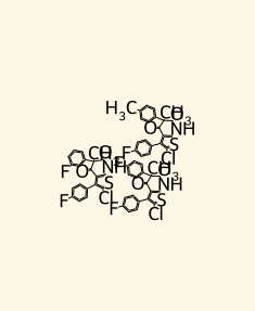 CC1(c2ccc(F)cc2)C(=O)Nc2sc(Cl)c(-c3ccc(F)cc3)c2C1=O.CC1(c2cccc(F)c2)C(=O)Nc2sc(Cl)c(-c3ccc(F)cc3)c2C1=O.Cc1ccc(C2(C)C(=O)Nc3sc(Cl)c(-c4ccc(F)cc4)c3C2=O)cc1